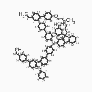 C=Cc1ccc(-c2ccc(OCC[Si](C)(C)CCCC3(c4cc(C)ccc4C)c4ccccc4-c4ccc(N(c5ccc(-c6ccccc6)cc5)c5ccc(-c6ccc7c(c6)c6cc(-c8ccc(C=C)cc8)ccc6n7-c6ccccc6)cc5)cc43)cc2)cc1